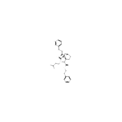 CC(C)CCN1C(=O)[C@H]2CC3CCC2(C1C(=O)NCCc1ccccc1)N3C(=O)CCc1ccccc1